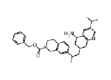 CC(C)c1cnc2c(c1)C(N)CC(CC(C)c1ccc3c(c1)CN(C(=O)OCc1ccccc1)CC3)C2